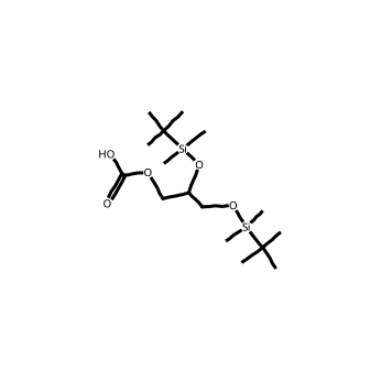 CC(C)(C)[Si](C)(C)OCC(COC(=O)O)O[Si](C)(C)C(C)(C)C